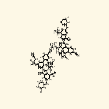 C[C@H]1CCCN(Cc2cc3c(c(C(F)(F)F)c2)CN(c2cc(-c4ccc(C#N)cc4-c4nncn4C)cc(NC4COC4[N+]#Cc4ccc(-c5cc(N[C@@H](C)CC#N)nc(N6Cc7c(cc(CN8CCC[C@H](C)C8)cc7C(F)(F)F)C6=O)c5)c(-c5nncn5C)c4)n2)C3=O)C1